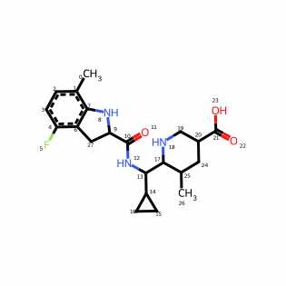 Cc1ccc(F)c2c1NC(C(=O)NC(C1CC1)C1NCC(C(=O)O)CC1C)C2